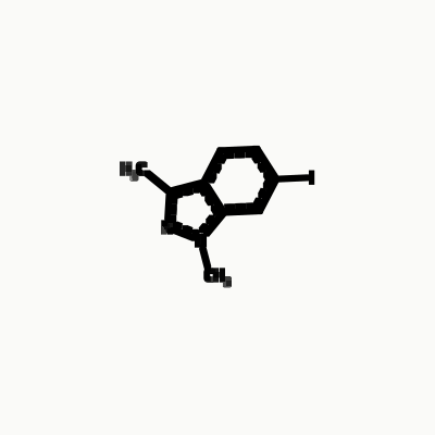 Cc1nn(C)c2cc(I)ccc12